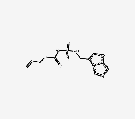 C=CCOC(=O)NS(=O)(=O)NCc1csc2cncn12